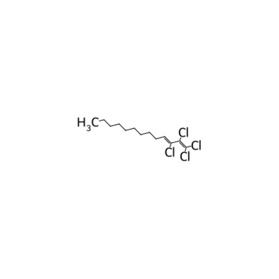 CCCCCCCCCC=C(Cl)C(Cl)=C(Cl)Cl